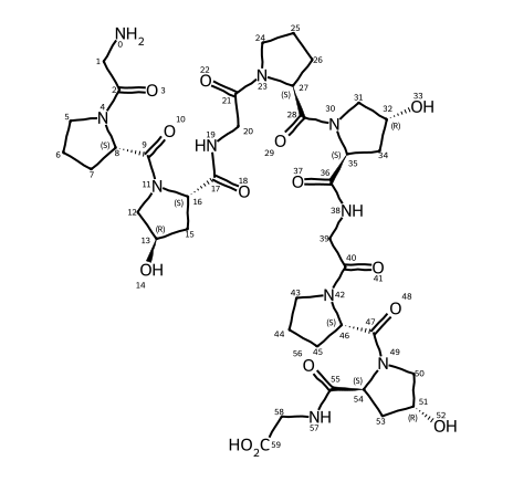 NCC(=O)N1CCC[C@H]1C(=O)N1C[C@H](O)C[C@H]1C(=O)NCC(=O)N1CCC[C@H]1C(=O)N1C[C@H](O)C[C@H]1C(=O)NCC(=O)N1CCC[C@H]1C(=O)N1C[C@H](O)C[C@H]1C(=O)NCC(=O)O